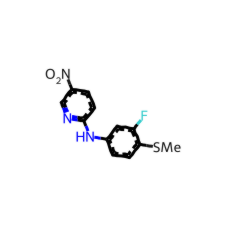 CSc1ccc(Nc2ccc([N+](=O)[O-])cn2)cc1F